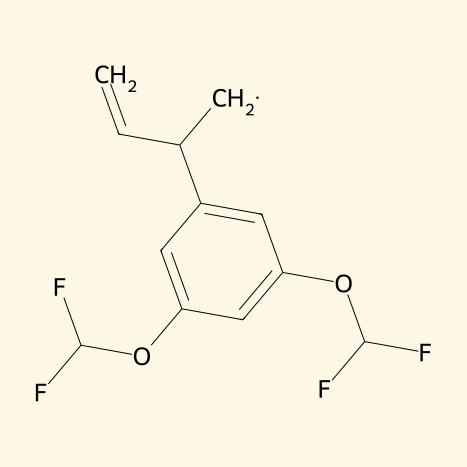 [CH2]C(C=C)c1cc(OC(F)F)cc(OC(F)F)c1